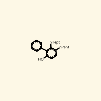 CCCCCCCc1c(CCCCC)ccc(O)c1-c1ccccc1